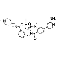 CN1CCC(CNC(=O)c2cccc(CN3C(=O)c4ccc(-c5ccnc(N)c5)cc4N(C)C(=O)[C@H]3CCO)c2)CC1